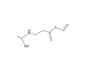 C=CSC(=C)CCNC(C)O